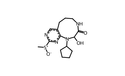 C[S+]([O-])c1ncc2c(n1)N(C1CCCC1)C(O)C(=O)NCCC2